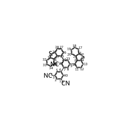 N#Cc1cc(C#N)cc(-c2cc(-c3cccc4sc5ccccc5c34)cc(-c3cccc4sc5ccccc5c34)c2C#N)c1